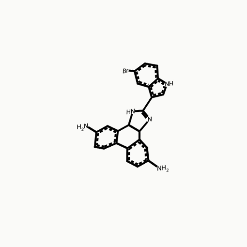 Nc1ccc2c(c1)C1N=C(c3c[nH]c4ccc(Br)cc34)NC1c1cc(N)ccc1-2